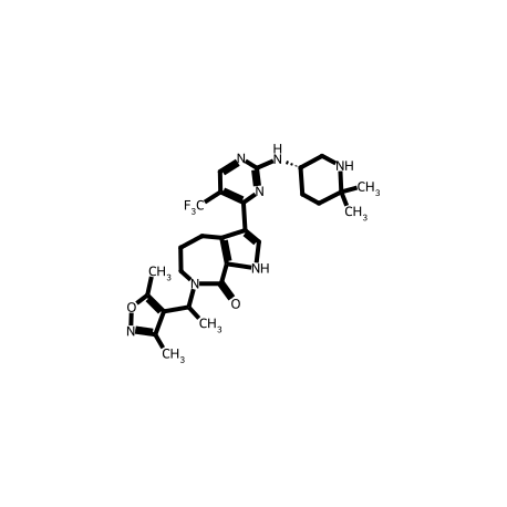 Cc1noc(C)c1C(C)N1CCCc2c(-c3nc(N[C@H]4CCC(C)(C)NC4)ncc3C(F)(F)F)c[nH]c2C1=O